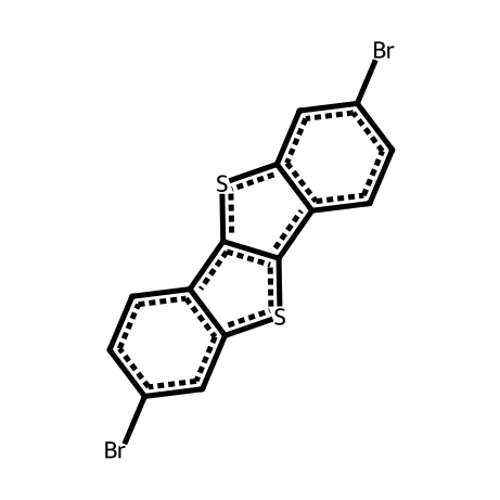 Brc1ccc2c(c1)sc1c3ccc(Br)cc3sc21